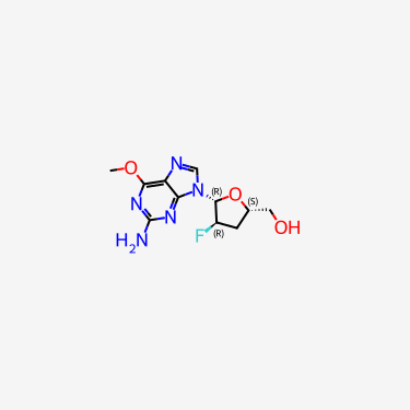 COc1nc(N)nc2c1ncn2[C@@H]1O[C@H](CO)C[C@H]1F